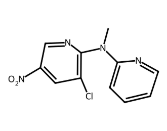 CN(c1ccccn1)c1ncc([N+](=O)[O-])cc1Cl